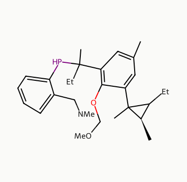 CCC1[C@@H](C)C1(C)c1cc(C)cc(C(C)(CC)Pc2ccccc2CNC)c1OCOC